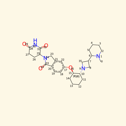 CN1CCCCC1C1CN([C@@H]2CCCC[C@H]2Oc2ccc3c(c2)CN(C2CCC(=O)NC2=O)C3=O)C1